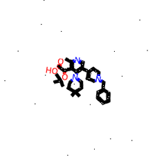 Cc1ncc(C2=CCN(Cc3ccccc3)CC2)c(N2CCC(C)(C)CC2)c1C(OC(C)(C)C)C(=O)O